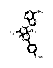 COc1ccc(C2O[C@@H]3C(C)O[C@@H](n4cnc5c(N)ncnc54)[C@]3(C)O2)cc1